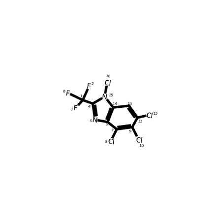 FC(F)(F)c1nc2c(Cl)c(Cl)c(Cl)cc2n1Cl